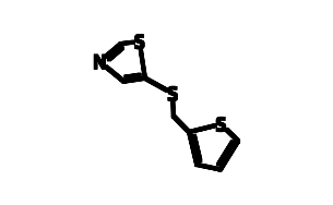 c1csc(CSc2cncs2)c1